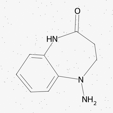 NN1CCC(=O)Nc2ccccc21